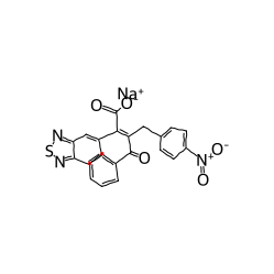 O=C([O-])/C(=C(\Cc1ccc([N+](=O)[O-])cc1)C(=O)c1ccccc1)c1ccc2nsnc2c1.[Na+]